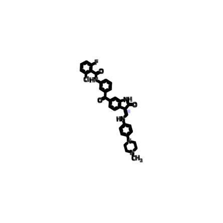 CN1CCN(c2ccc(N/C=C3/C(=O)Nc4cc(C(=O)c5cccc(NC(=O)c6c(F)cccc6Cl)c5)ccc43)cc2)CC1